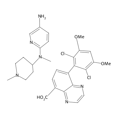 CN1CCC(N(C)c2ccc(N)cn2)CC1.COc1cc(OC)c(Cl)c(-c2ccc(C(=O)O)c3nccnc23)c1Cl